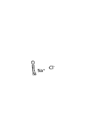 [Cl-].[Na+].[O]=[Ni]